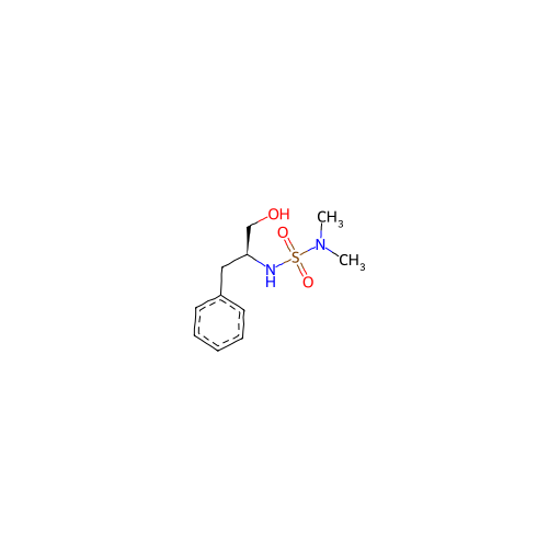 CN(C)S(=O)(=O)N[C@H](CO)Cc1ccccc1